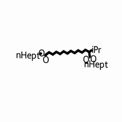 CCCCCCCOC(=O)CCCCCCCCCCCC(C(=O)OCCCCCCC)C(C)C